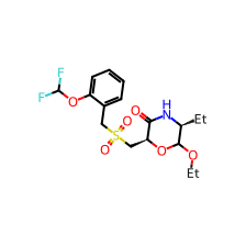 CCOC1O[C@@H](CS(=O)(=O)Cc2ccccc2OC(F)F)C(=O)N[C@H]1CC